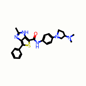 Cc1nc2c(-c3ccccc3)sc(C(=O)Nc3ccc(N4CCC(N(C)C)C4)cc3)c2[nH]1